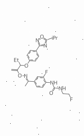 C=C(O/N=C(\C)c1ccc(NC(=O)NCCF)c(F)c1)C(CC)Oc1ccc(-c2noc(C(C)C)n2)cc1